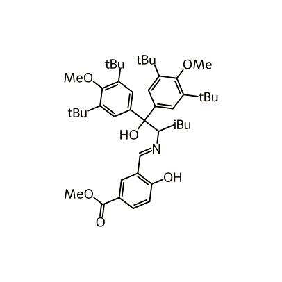 CCC(C)C(N=Cc1cc(C(=O)OC)ccc1O)C(O)(c1cc(C(C)(C)C)c(OC)c(C(C)(C)C)c1)c1cc(C(C)(C)C)c(OC)c(C(C)(C)C)c1